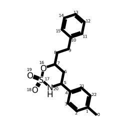 Cc1ccc(C2CC(CCc3ccccc3)OS(=O)(=O)N2)cc1